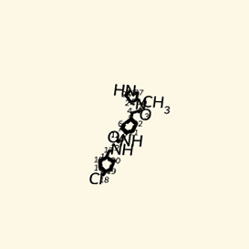 CN(C(=O)Cc1ccc(NC(=O)NCc2ccc(Cl)cc2)cc1)C1CCNC1